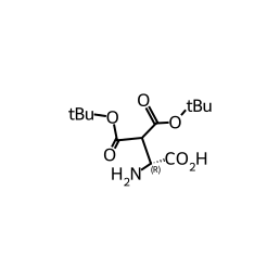 CC(C)(C)OC(=O)C(C(=O)OC(C)(C)C)[C@@H](N)C(=O)O